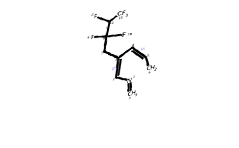 C=N/C=C(\C=C/C)CC(F)(F)C(F)C(F)(F)F